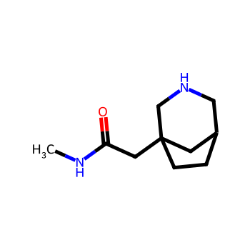 CNC(=O)CC12CCC(CNC1)C2